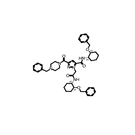 O=C(Cn1nc(C(=O)N2CCN(Cc3ccccc3)CC2)cc1C(=O)N[C@H]1CCCC[C@@H]1OCc1ccccc1)N[C@H]1CCCC[C@@H]1OCc1ccccc1